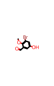 COc1c(Br)cc(O)cc1C=O